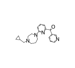 O=C(c1cccnc1)c1cccc(N2CCCN(CC3CC3)CC2)n1